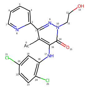 CC(=O)c1c(-c2ccccn2)nn(CCO)c(=O)c1Nc1cc(Cl)ccc1Cl